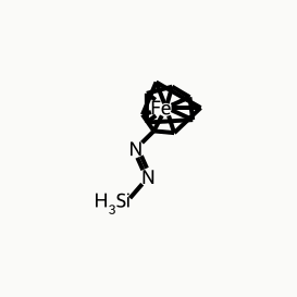 [SiH3]N=N[C]12[CH]3[CH]4[CH]5[CH]1[Fe]45321678[CH]2[CH]1[CH]6[CH]7[CH]28